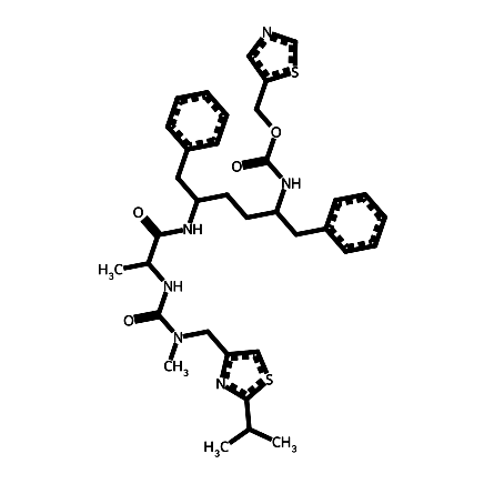 CC(NC(=O)N(C)Cc1csc(C(C)C)n1)C(=O)NC(CCC(Cc1ccccc1)NC(=O)OCc1cncs1)Cc1ccccc1